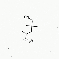 CC(CC(C)(C)CN=O)C(=O)O